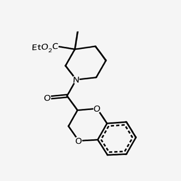 CCOC(=O)C1(C)CCCN(C(=O)C2COc3ccccc3O2)C1